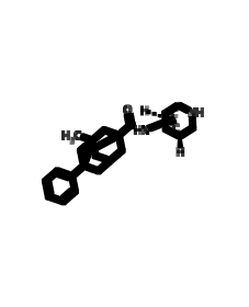 CC12CC3CC(C(=O)N[C@H]4CC5CC[C@@H](CN5)C4)(C1)CC(c1ccccc1)(C3)C2